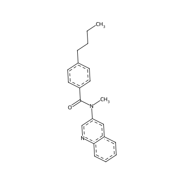 CCCCc1ccc(C(=O)N(C)c2cnc3ccccc3c2)cc1